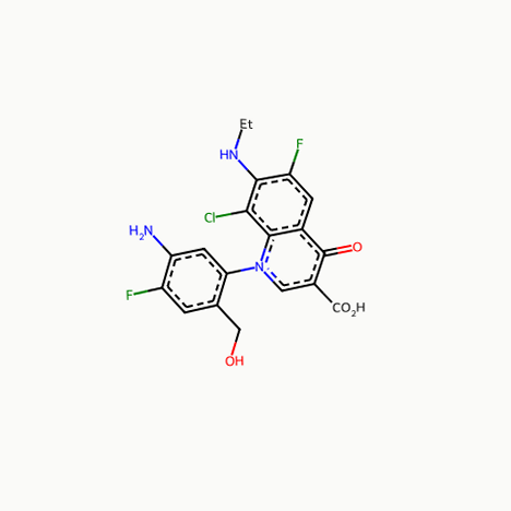 CCNc1c(F)cc2c(=O)c(C(=O)O)cn(-c3cc(N)c(F)cc3CO)c2c1Cl